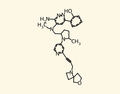 CCN(CC1CCC(C)N1c1ccnc(C#CCN2CCC23CCOC3)c1)c1cc(-c2ccccc2O)nnc1N